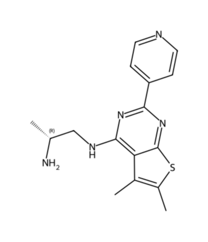 Cc1sc2nc(-c3ccncc3)nc(NC[C@@H](C)N)c2c1C